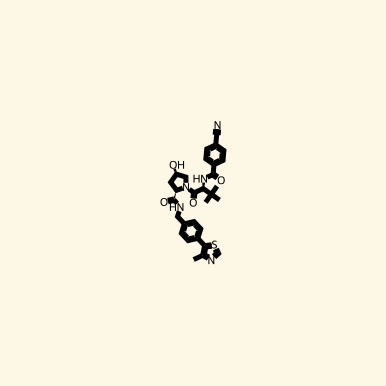 Cc1ncsc1-c1ccc(CNC(=O)[C@@H]2C[C@@H](O)CN2C(=O)[C@@H](NC(=O)c2ccc(C#N)cc2)C(C)(C)C)cc1